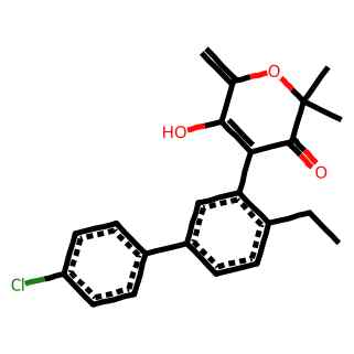 C=C1OC(C)(C)C(=O)C(c2cc(-c3ccc(Cl)cc3)ccc2CC)=C1O